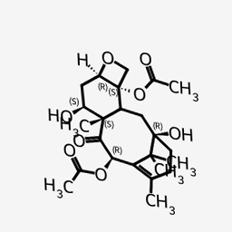 CC(=O)O[C@H]1C(=O)[C@@]2(C)C(C[C@]3(O)CCC(C)=C1C3(C)C)[C@]1(OC(C)=O)CO[C@@H]1C[C@@H]2O